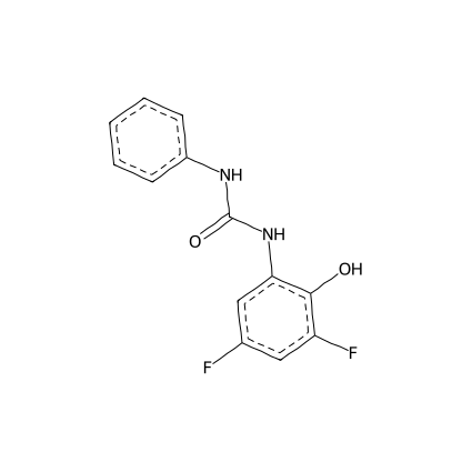 O=C(Nc1ccccc1)Nc1cc(F)cc(F)c1O